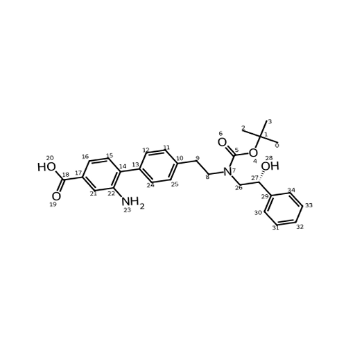 CC(C)(C)OC(=O)N(CCc1ccc(-c2ccc(C(=O)O)cc2N)cc1)C[C@H](O)c1ccccc1